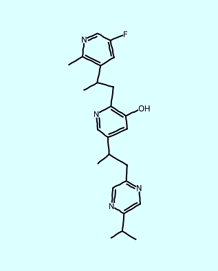 Cc1ncc(F)cc1C(C)Cc1ncc(C(C)Cc2cnc(C(C)C)cn2)cc1O